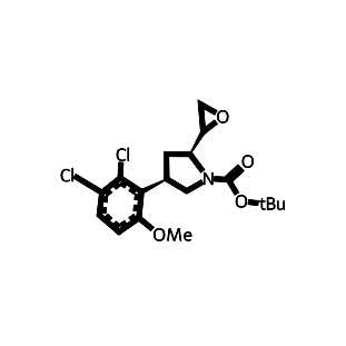 COc1ccc(Cl)c(Cl)c1[C@H]1C[C@@H](C2CO2)N(C(=O)OC(C)(C)C)C1